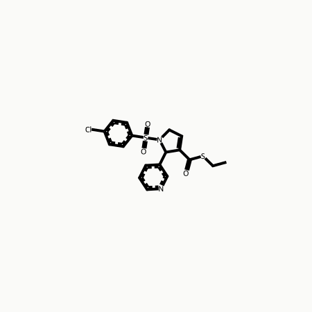 CCSC(=O)C1=CCN(S(=O)(=O)c2ccc(Cl)cc2)C1c1cccnc1